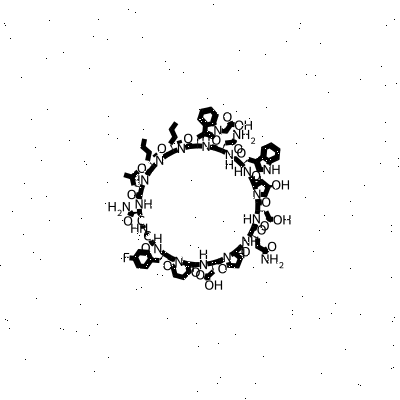 CCCC[C@H]1C(=O)N(C)[C@@H](CCCC)C(=O)N[C@@H](CC(C)C)C(=O)N[C@H](C(N)=O)CNCC(=O)N[C@@H](Cc2ccc(F)cc2)C(=O)N2CCCC[C@H]2C(=O)N[C@@H](CC(=O)O)C(=O)N2CCC[C@H]2C(=O)N[C@@H](CCC(N)=O)C(=O)N[C@@H](CC(=O)O)C(=O)N2C[C@H](O)C[C@H]2C(=O)N[C@@H](Cc2c[nH]c3ccccc23)C(=O)N[C@@H](CC(N)=O)C(=O)N[C@@H](Cc2cn(CC(=O)O)c3ccccc23)C(=O)N1C